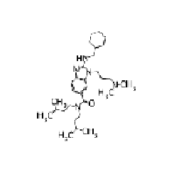 CC(C)CCN(CCC(C)C)C(=O)c1ccc2nc(NCC3CCCCC3)n(CCCN(C)C)c2c1